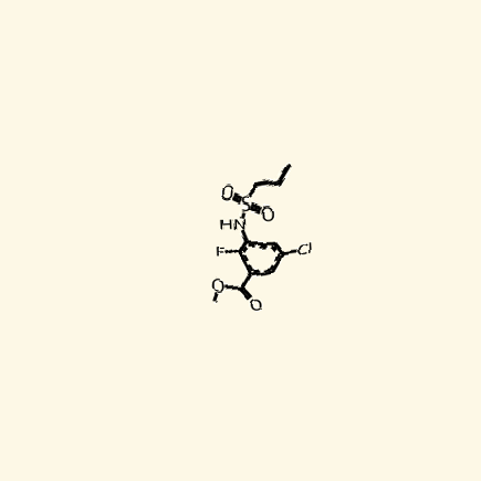 CCCS(=O)(=O)Nc1cc(Cl)cc(C(=O)OC)c1F